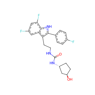 O=C(NCCc1c(-c2ccc(F)cc2)[nH]c2c(F)cc(F)cc12)N[C@@H]1CC[C@@H](O)C1